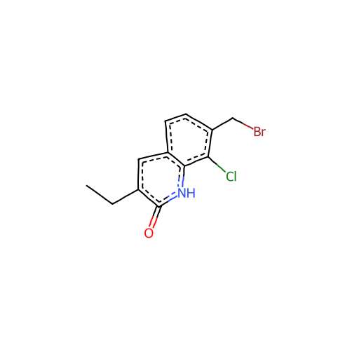 CCc1cc2ccc(CBr)c(Cl)c2[nH]c1=O